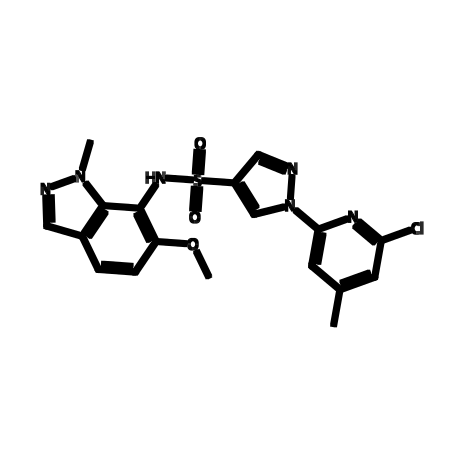 COc1ccc2cnn(C)c2c1NS(=O)(=O)c1cnn(-c2cc(C)cc(Cl)n2)c1